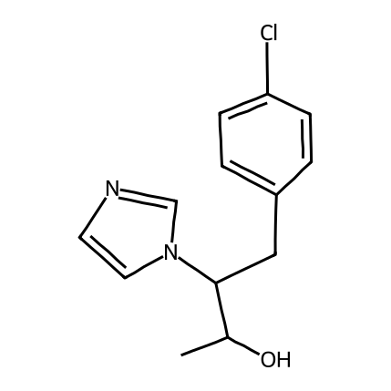 CC(O)C(Cc1ccc(Cl)cc1)n1ccnc1